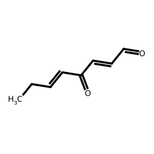 CCC=CC(=O)C=CC=O